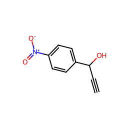 C#CC(O)c1ccc([N+](=O)[O-])cc1